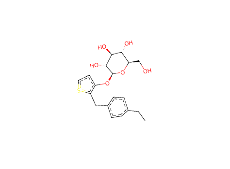 CCc1ccc(Cc2sccc2O[C@@H]2O[C@H](CO)[C@@H](O)[C@H](O)[C@H]2O)cc1